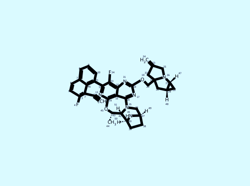 C#Cc1c(F)ccc2cccc(-c3nc4c5c(nc(OCC67CC(=C)CN6[C@@H]6C[C@@H]6C7)nc5c3F)N3C[C@H]5CC[C@H](N5)[C@H]3[C@H](C)O4)c12